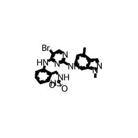 Cc1cc(Nc2ncc(Br)c(Nc3ccccc3CN[SH](=O)=O)n2)cc2c1cnn2C